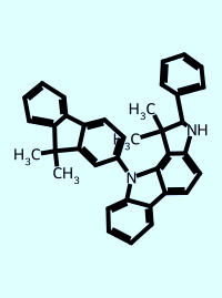 CC1(C)c2ccccc2-c2ccc(-n3c4ccccc4c4ccc5c(c43)C(C)(C)C(c3ccccc3)N5)cc21